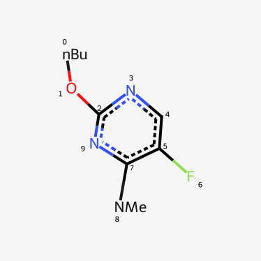 CCCCOc1ncc(F)c(NC)n1